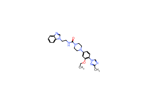 CCOc1cc(N2CCN(C(=O)NCCn3cnc4ccccc43)CC2)ccc1-n1cnc(C)n1